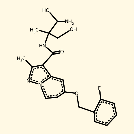 Cc1nn2ccc(OCc3ccccc3F)cc2c1C(=O)NC(C)(CO)C(N)O